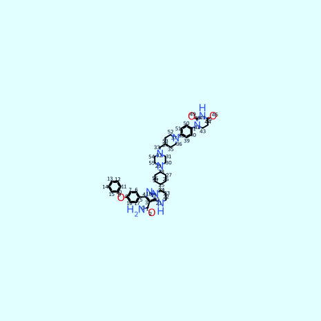 NC(=O)c1c(-c2ccc(Oc3ccccc3)cc2)nn2c1NCC[C@H]2C1CCC(N2CCN(CC3CCN(c4ccc(N5CCC(=O)NC5=O)cc4)CC3)CC2)CC1